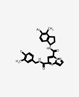 CC(=O)c1ccc2c(c1C)CC[C@@H]2NC(=O)c1cc(C(=O)NCc2ccc(F)c(C)c2)nc2ccnn12